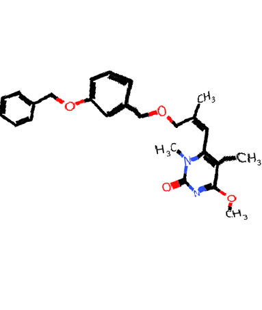 COc1nc(=O)n(C)c(C=C(C)COCc2cccc(OCc3ccccc3)c2)c1C